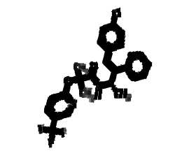 C[C@H](NC(=O)C(C)(C)Oc1ccc(C(F)(F)F)cn1)C(Cc1ccc(Cl)cc1)c1ccccc1